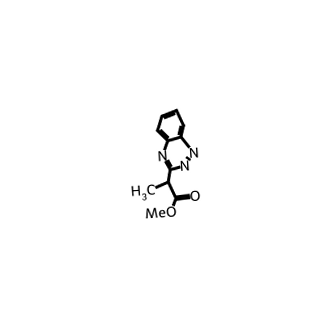 COC(=O)C(C)c1nnc2ccccc2n1